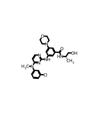 C[C@@H](CO)NC(=O)c1cc(Nc2nccc(N(C)c3cccc(Cl)c3)n2)cc(N2CCOCC2)c1